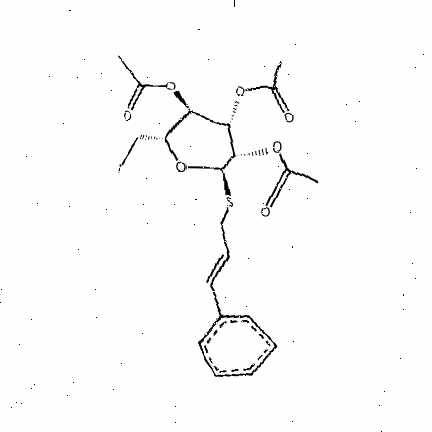 CC(=O)O[C@@H]1[C@H](OC(C)=O)[C@@H](SC/C=C/c2ccccc2)O[C@H](CI)[C@H]1OC(C)=O